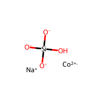 [Co+2].[Na+].[O-][Si]([O-])([O-])O